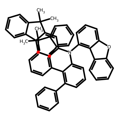 CC1(C)c2ccccc2-c2ccc(N(c3cccc(-c4ccccc4)c3-c3cccc4c3-c3ccccc3C4(C)C)c3cccc4oc5ccccc5c34)cc21